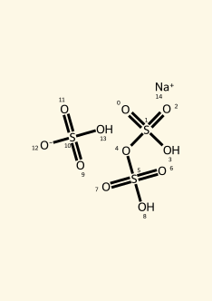 O=S(=O)(O)OS(=O)(=O)O.O=S(=O)([O-])O.[Na+]